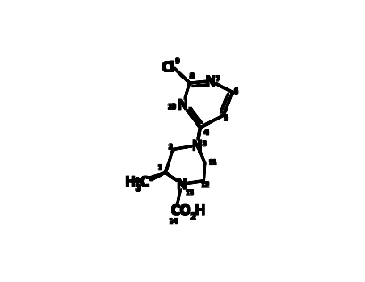 C[C@H]1CN(c2ccnc(Cl)n2)CCN1C(=O)O